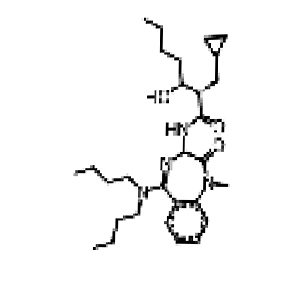 CCCC[C@H](O)[C@@H](CC1CC1)C(=O)NC1N=C(N(CCCC)CCCC)c2ccccc2N(C)C1=O